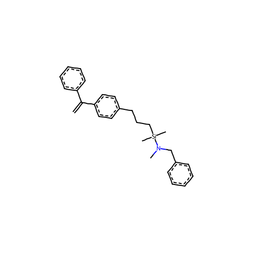 C=C(c1ccccc1)c1ccc(CCC[Si](C)(C)N(C)Cc2ccccc2)cc1